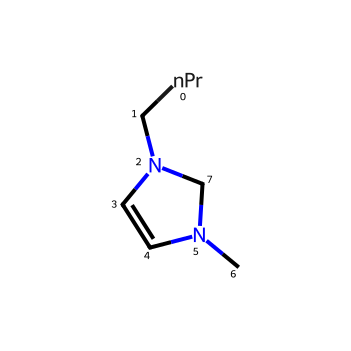 [CH2]CCCN1C=CN(C)C1